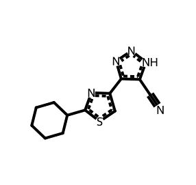 N#Cc1[nH]nnc1-c1csc(C2CCCCC2)n1